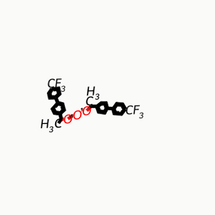 CC(OCOCOC(C)c1ccc(-c2ccc(C(F)(F)F)cc2)cc1)c1ccc(-c2ccc(C(F)(F)F)cc2)cc1